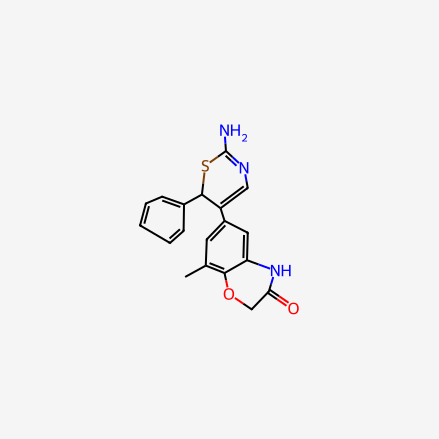 Cc1cc(C2=CN=C(N)SC2c2ccccc2)cc2c1OCC(=O)N2